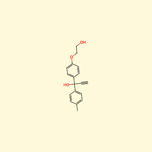 C#CC(O)(c1ccc(C)cc1)c1ccc(OCCO)cc1